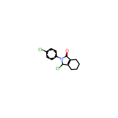 O=C1C2=C(CCCC2)C(Cl)N1c1ccc(Cl)cc1